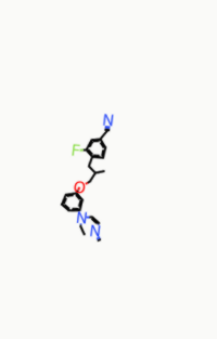 C=N/C=C\N(CC)c1cccc(OCC(C)Cc2ccc(C#N)cc2F)c1